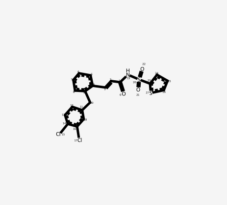 O=C(/C=C/c1ccccc1Cc1ccc(Cl)c(Cl)c1)NS(=O)(=O)c1cccs1